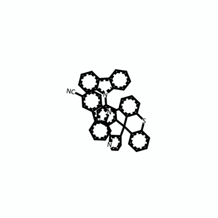 N#Cc1ccc2c(c1)c1ccccc1n2-c1cccc2c1C1(c3ccccc3S2)c2cccnc2-c2ncc(-n3c4ccccc4c4ccccc43)cc21